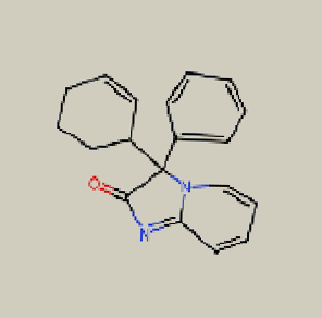 O=C1N=C2C=CC=CN2C1(c1ccccc1)C1C=CCCC1